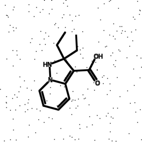 CCC1(CC)NN2C=CC=CC2=C1C(=O)O